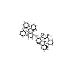 C=CC1=C(C)c2ccccc2C12c1ccccc1-c1ccc(Nc3cccc4c3-c3ccccc3C43c4ccccc4-c4ccccc43)cc12